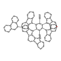 N#Cc1c(-n2c3ccccc3c3ccccc32)c(-n2c3ccccc3c3ccccc32)c(C#N)c(-n2c3ccc(-c4cc5ccccc5c5ccccc45)cc3c3ccc4c5ccccc5sc4c32)c1-n1c2ccccc2c2ccccc21